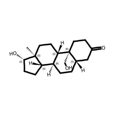 C[C@]12CC[C@H]3[C@@H](CC[C@H]4CC(=O)CC[C@@]43CO)[C@@H]1CC[C@@H]2O